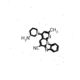 Cc1cc(N2CCC[C@@H](N)C2)c2cc(C#N)c3nc4ccccc4n3c2n1